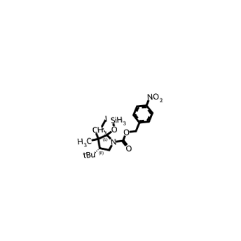 CC(C)(C)[C@H]1CN(C(=O)OCc2ccc([N+](=O)[O-])cc2)[C@](CI)(O[SiH3])C1(C)C